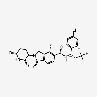 O=C1CCC(N2Cc3c(ccc(C(=O)N[C@@H](CC(F)(F)F)c4ccc(Cl)cc4)c3F)C2=O)C(=O)N1